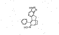 O/N=C1\C(c2ccccc2)=C2c3ccc4[nH]nnc4c3CC23CCC1C3